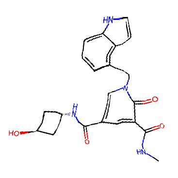 CNC(=O)c1cc(C(=O)N[C@H]2C[C@H](O)C2)cn(Cc2cccc3[nH]ccc23)c1=O